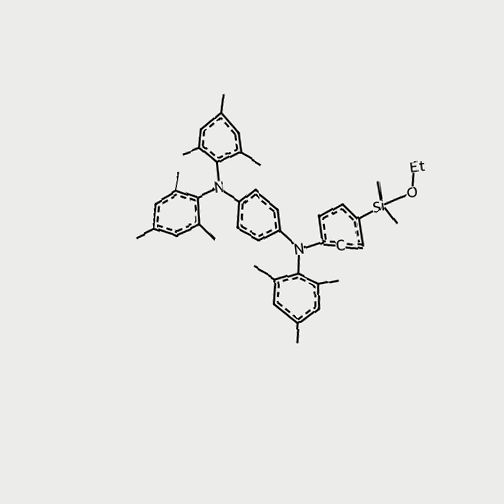 CCO[Si](C)(C)c1ccc(N(c2ccc(N(c3c(C)cc(C)cc3C)c3c(C)cc(C)cc3C)cc2)c2c(C)cc(C)cc2C)cc1